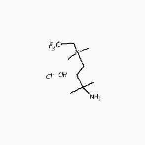 CC(C)(N)CC[N+](C)(C)CC(F)(F)F.Cl.[Cl-]